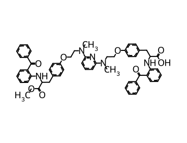 COC(=O)C(Cc1ccc(OCCN(C)c2cccc(N(C)CCOc3ccc(CC(Nc4ccccc4C(=O)c4ccccc4)C(=O)O)cc3)n2)cc1)Nc1ccccc1C(=O)c1ccccc1